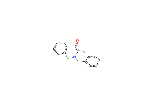 O=C[C@H](I)N(Cc1ccccc1)Cc1ccccc1